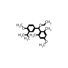 CCOC(c1ccc(OC)c(C(C)C)c1)c1c(C)cc(OC)cc1C